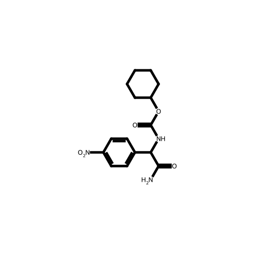 NC(=O)C(NC(=O)OC1CCCCC1)c1ccc([N+](=O)[O-])cc1